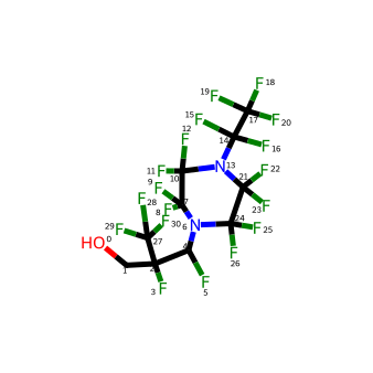 OCC(F)(C(F)N1C(F)(F)C(F)(F)N(C(F)(F)C(F)(F)F)C(F)(F)C1(F)F)C(F)(F)F